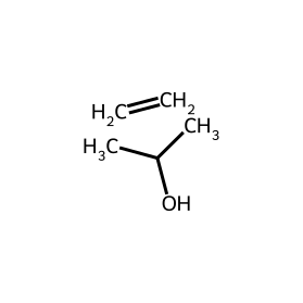 C=C.CC(C)O